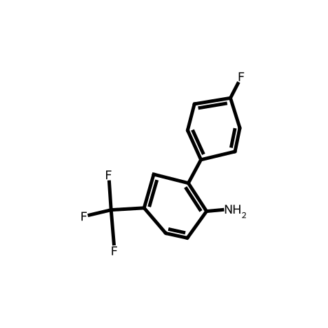 Nc1ccc(C(F)(F)F)cc1-c1ccc(F)cc1